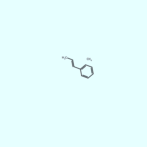 C.CC=Cc1ccccc1